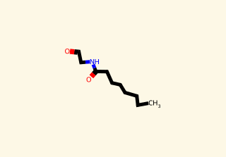 CCCCCCCC(=O)NCC=O